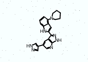 c1cc(N2CCCCC2)c2cc(-c3n[nH]c4ncc(-c5cn[nH]c5)cc34)[nH]c2c1